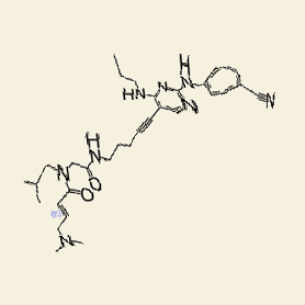 CCCNc1nc(Nc2ccc(C#N)cc2)ncc1C#CCCCNC(=O)CN(CC(C)C)C(=O)/C=C/CN(C)C